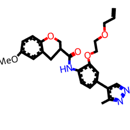 C=CCOCCOc1cc(-c2c[nH]nc2C)ccc1NC(=O)C1COc2ccc(OC)cc2C1